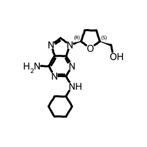 Nc1nc(NC2CCCCC2)nc2c1ncn2[C@H]1CC[C@@H](CO)O1